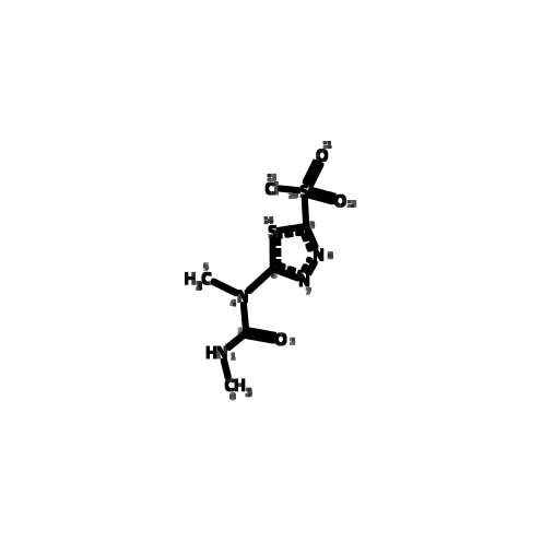 CNC(=O)N(C)c1nnc(S(=O)(=O)Cl)s1